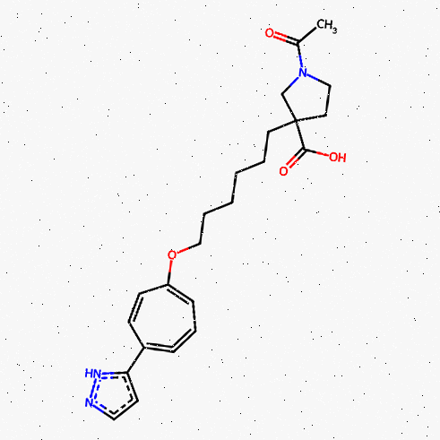 CC(=O)N1CCC(CCCCCCOC2=CC=C=C(c3ccn[nH]3)C=C2)(C(=O)O)C1